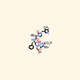 Cc1ccncc1CN1CCN([C@H](C(=O)N[C@@H](Cc2ccccc2)[C@@H](O)CN(CCC(C)C)NC(=O)[C@@H](NC(=O)O)C(C)(C)C)C(C)(C)C)C1=O